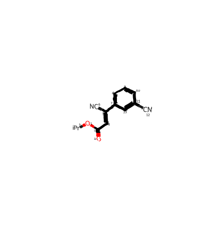 CC(C)OC(=O)C=C(C#N)c1cccc(C#N)c1